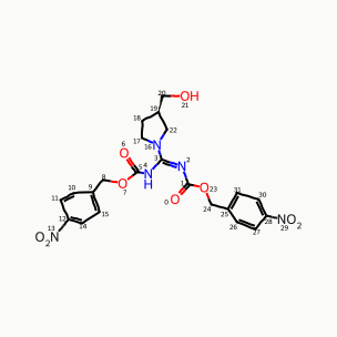 O=C(/N=C(\NC(=O)OCc1ccc([N+](=O)[O-])cc1)N1CC[C@@H](CO)C1)OCc1ccc([N+](=O)[O-])cc1